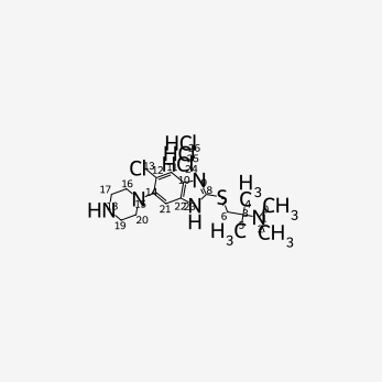 CN(C)C(C)(C)CSc1nc2cc(Cl)c(N3CCNCC3)cc2[nH]1.Cl.Cl.Cl